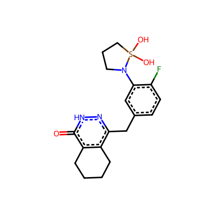 O=c1[nH]nc(Cc2ccc(F)c(N3CCCS3(O)O)c2)c2c1CCCC2